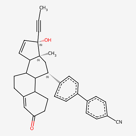 CC#C[C@]1(O)C=CC2C3CCC4=CC(=O)CCC4C3[C@@H](c3ccc(-c4ccc(C#N)cc4)cc3)C[C@@]21C